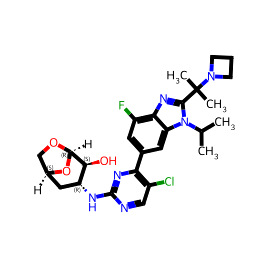 CC(C)n1c(C(C)(C)N2CCC2)nc2c(F)cc(-c3nc(N[C@@H]4C[C@H]5CO[C@H](O5)[C@H]4O)ncc3Cl)cc21